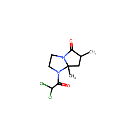 CC1CC2(C)N(C(=O)C(Cl)Cl)CCN2C1=O